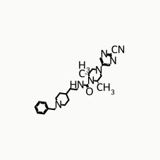 C[C@@H]1CN(c2cnc(C#N)nc2)C[C@H](C)N1C(=O)NCCC1CCN(Cc2ccccc2)CC1